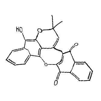 CC1(C)C=C2C3=C(Oc4c2c(c(O)c2ccccc42)O1)C(=O)c1ccccc1C3=O